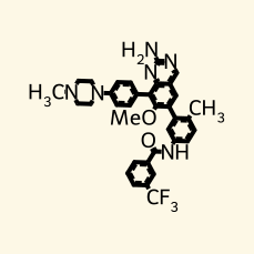 COc1c(-c2cc(NC(=O)c3cccc(C(F)(F)F)c3)ccc2C)cc2cnc(N)nc2c1-c1ccc(N2CCN(C)CC2)cc1